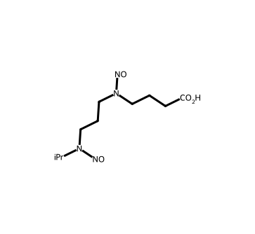 CC(C)N(CCCN(CCCC(=O)O)N=O)N=O